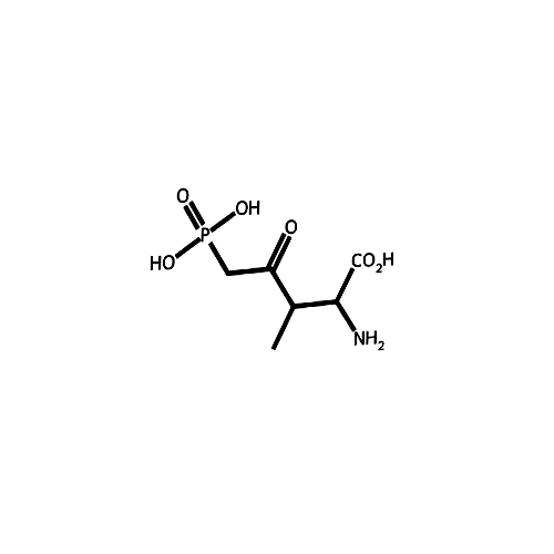 CC(C(=O)CP(=O)(O)O)C(N)C(=O)O